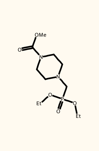 CCOP(=O)(CN1CCN(C(=O)OC)CC1)OCC